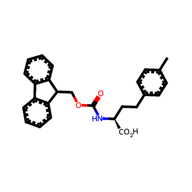 Cc1ccc(CC[C@H](NC(=O)OCC2c3ccccc3-c3ccccc32)C(=O)O)cc1